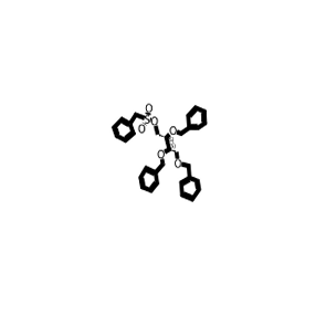 O=S(=O)(Cc1ccccc1)OC[C@H](OCc1ccccc1)[C@H](COCc1ccccc1)OCc1ccccc1